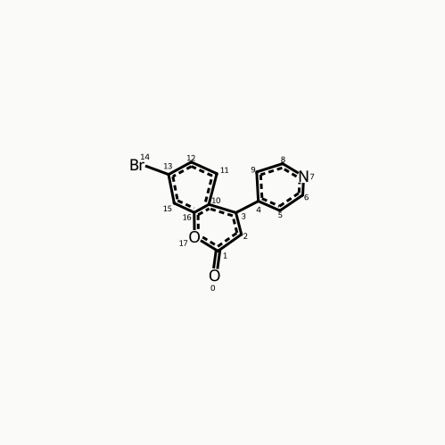 O=c1cc(-c2ccncc2)c2ccc(Br)cc2o1